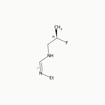 CC/N=C\NC[C@@H](C)F